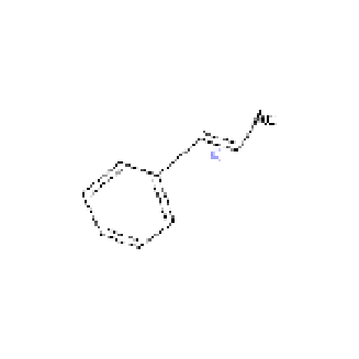 [CH]C(=O)/C=C/c1ccccc1